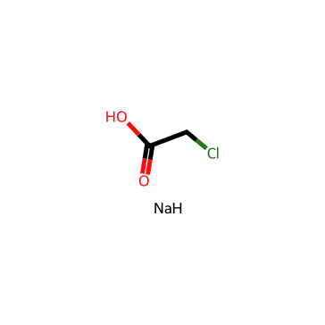 O=C(O)CCl.[NaH]